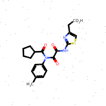 Cc1ccc(N(C(=O)C(=O)Nc2nc(CC(=O)O)cs2)C(=O)C2CCCC2)cc1